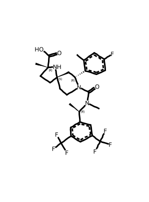 Cc1cc(F)ccc1[C@H]1C[C@@]2(CCN1C(=O)N(C)[C@H](C)c1cc(C(F)(F)F)cc(C(F)(F)F)c1)CC[C@](C)(C(=O)O)N2